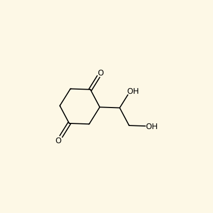 O=C1CCC(=O)C(C(O)CO)C1